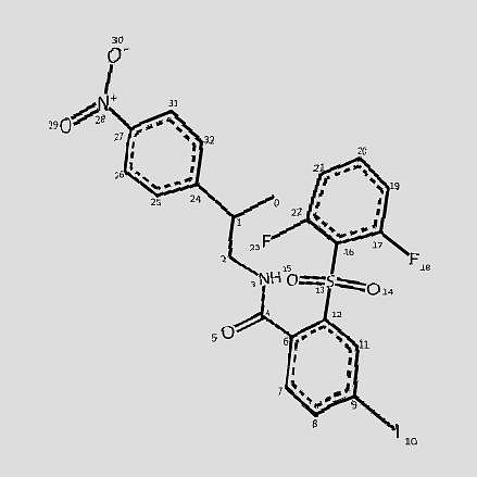 CC(CNC(=O)c1ccc(I)cc1S(=O)(=O)c1c(F)cccc1F)c1ccc([N+](=O)[O-])cc1